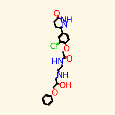 O=C(COc1ccc(C2=NNC(=O)CC2)cc1Cl)NCCNCC(O)COc1ccccc1